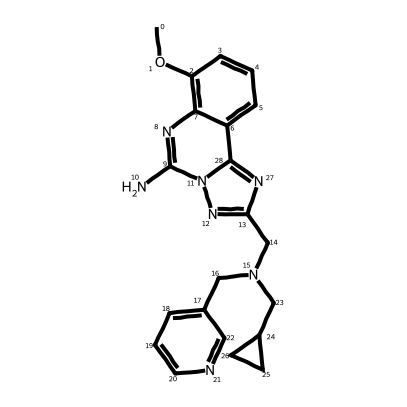 COc1cccc2c1nc(N)n1nc(CN(Cc3cccnc3)CC3CC3)nc21